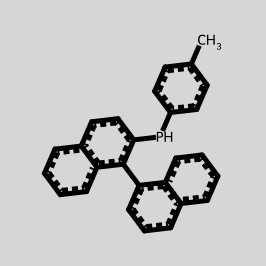 Cc1ccc(Pc2ccc3ccccc3c2-c2cccc3ccccc23)cc1